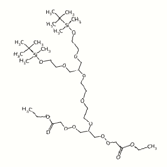 CCOC(=O)COOCC(COOCC(=O)OCC)OCCOCCOC(COCCO[Si](C)(C)C(C)(C)C)COCCO[Si](C)(C)C(C)(C)C